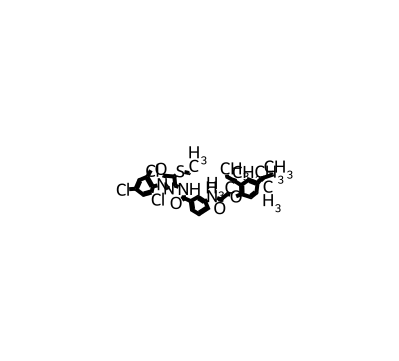 CCSC1C(=O)N(c2c(Cl)cc(Cl)cc2Cl)N=C1NC(=O)c1cccc(NC(=O)COc2ccc(C(C)(C)CC)cc2C(C)(C)CC)c1